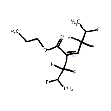 CCCOC(=O)/C(=C\C(F)(F)C(C)F)C(F)(F)C(C)F